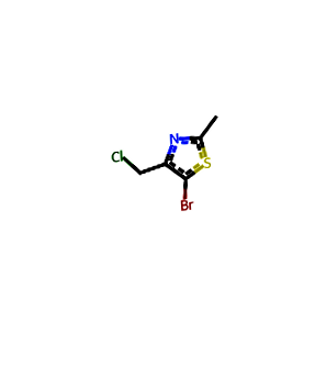 Cc1nc(CCl)c(Br)s1